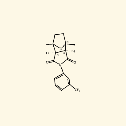 CC12CC[C@@](C)(O1)[C@H]1C(=O)N(c3cccc(C(F)(F)F)c3)C(=O)[C@H]12